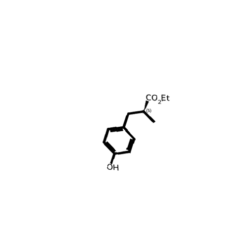 CCOC(=O)[C@@H](C)Cc1ccc(O)cc1